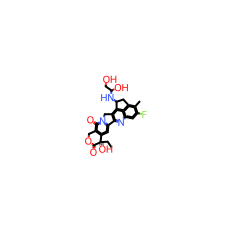 CC[C@@]1(O)C(=O)OCc2c1cc1n(c2=O)Cc2c-1nc1cc(F)c(C)c3c1c2C(NC(O)CO)C3